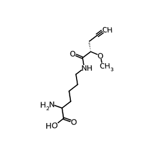 C#CC[C@H](OC)C(=O)NCCCCC(N)C(=O)O